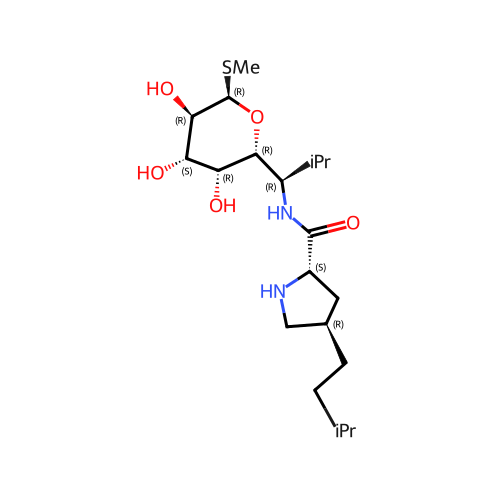 CS[C@H]1O[C@H]([C@H](NC(=O)[C@@H]2C[C@@H](CCC(C)C)CN2)C(C)C)[C@H](O)[C@H](O)[C@H]1O